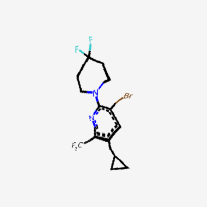 FC1(F)CCN(c2nc(C(F)(F)F)c(C3CC3)cc2Br)CC1